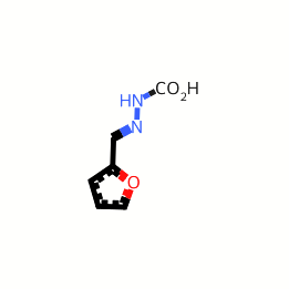 O=C(O)NN=Cc1ccco1